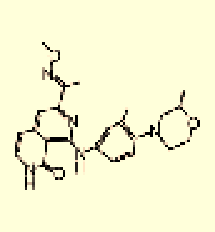 CON=C(C)c1cc2cc[nH]c(=O)c2c(Nc2ccc(N3CCO[C@H](C)C3)c(C)c2)n1